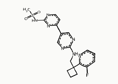 CS(=O)(=O)Nc1nccc(-c2cnc(NCC3(c4ncccc4F)CCC3)nc2)n1